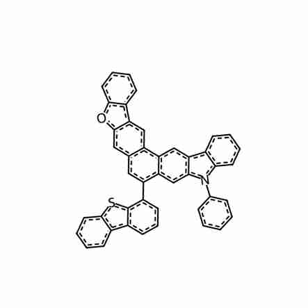 c1ccc(-n2c3ccccc3c3cc4c(cc32)c(-c2cccc3c2sc2ccccc23)cc2cc3oc5ccccc5c3cc24)cc1